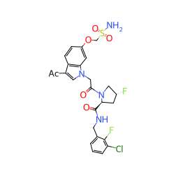 CC(=O)c1cn(CC(=O)N2C[C@H](F)C[C@H]2C(=O)NCc2cccc(Cl)c2F)c2cc(OCS(N)(=O)=O)ccc12